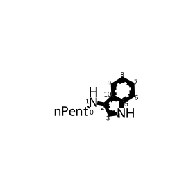 CCCCCNc1c[nH]c2ccccc12